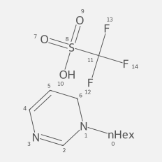 CCCCCCN1C=NC=CC1.O=S(=O)(O)C(F)(F)F